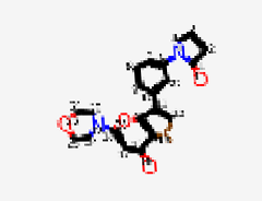 O=C1C=CCN1c1cccc(-c2csc3c(=O)cc(N4CCOCC4)oc23)c1